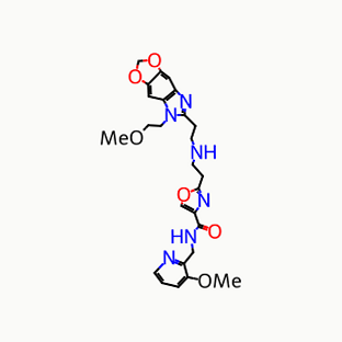 COCCn1c(CCNCCc2nc(C(=O)NCc3ncccc3OC)co2)nc2cc3c(cc21)OCO3